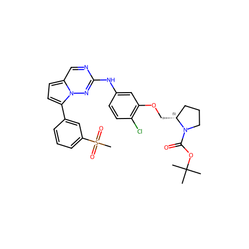 CC(C)(C)OC(=O)N1CCC[C@H]1COc1cc(Nc2ncc3ccc(-c4cccc(S(C)(=O)=O)c4)n3n2)ccc1Cl